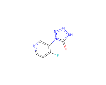 O=c1[nH]nnn1-c1cnccc1F